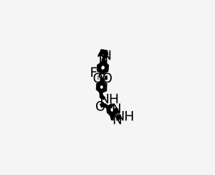 O=C(NCc1ccc(S(=O)(=O)c2ccc(-n3cccn3)cc2F)cc1)c1cnc2[nH]ncc2c1